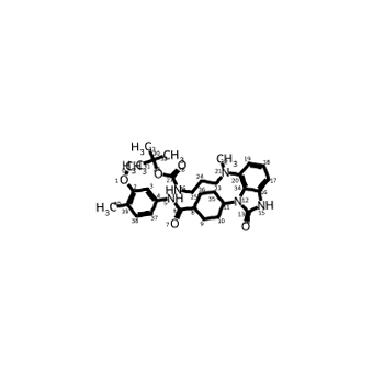 COc1cc(NC(=O)C2CCC(n3c(=O)[nH]c4cccc(N(C)CCCNC(=O)OC(C)(C)C)c43)CC2)ccc1C